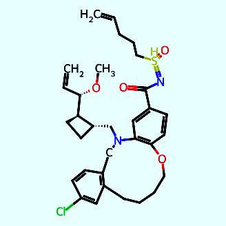 C=CCCC/[SH](=O)=N\C(=O)c1ccc2c(c1)N(C[C@@H]1CC[C@H]1[C@H](C=C)OC)Cc1ccc(Cl)cc1CCCCO2